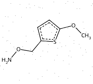 COc1ccc(CON)s1